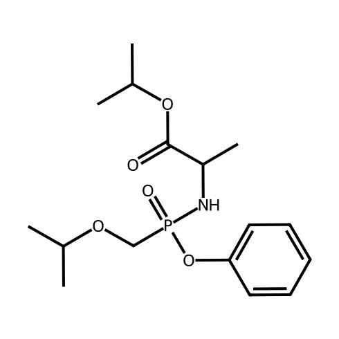 CC(C)OCP(=O)(NC(C)C(=O)OC(C)C)Oc1ccccc1